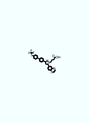 O=C(O)CCCN1N=C(c2ccc(-c3ccc(SC(F)(F)F)cc3)cc2)CC1c1ccc2nccnc2c1